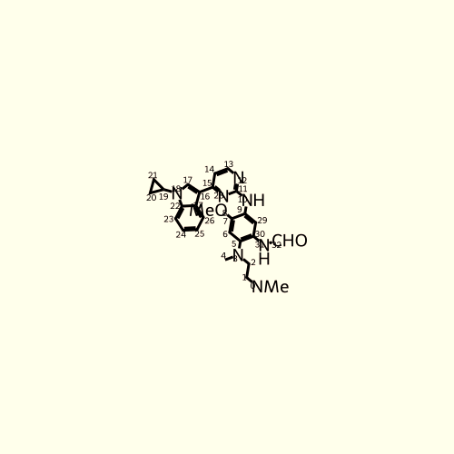 CNCCN(C)c1cc(OC)c(Nc2nccc(-c3cn(C4CC4)c4ccccc34)n2)cc1NC=O